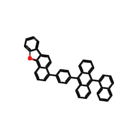 c1ccc2c(-c3c4ccccc4c(-c4ccc(-c5cccc6c5ccc5c7ccccc7oc65)cc4)c4ccccc34)cccc2c1